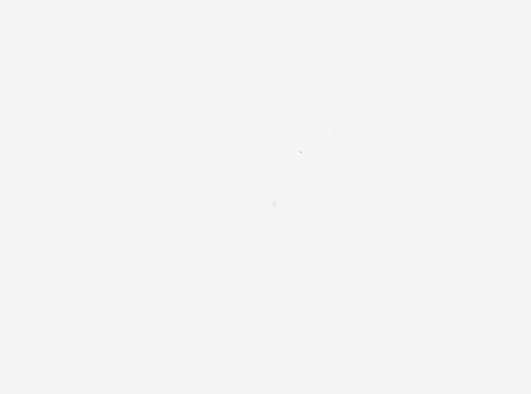 ClCC[SiH2]C[Si](Cl)(Cl)Cl